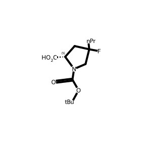 CCCC1(F)C[C@@H](C(=O)O)N(C(=O)OC(C)(C)C)C1